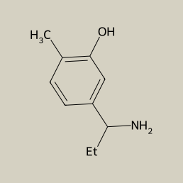 CCC(N)c1ccc(C)c(O)c1